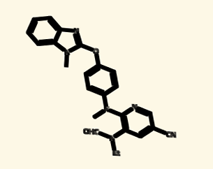 CCN(C=O)c1cc(C#N)cnc1N(C)c1ccc(Oc2nc3ccccc3n2C)cc1